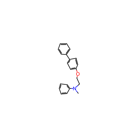 CN(CCOc1ccc(-c2ccccc2)cc1)c1ccccc1